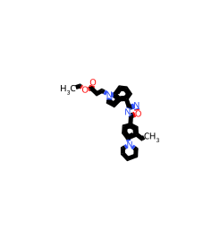 CCOC(=O)CCn1ccc2c(-c3noc(-c4ccc(N5CCCCC5)c(CC)c4)n3)cccc21